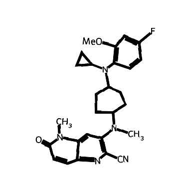 COc1cc(F)ccc1N(C1CCC(N(C)c2cc3c(ccc(=O)n3C)nc2C#N)CC1)C1CC1